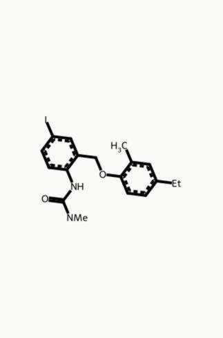 CCc1ccc(OCc2cc(I)ccc2NC(=O)NC)c(C)c1